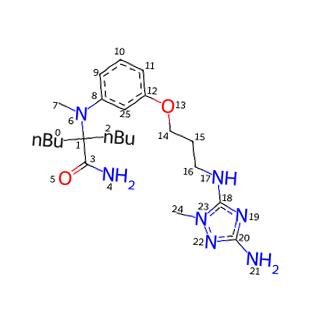 CCCCC(CCCC)(C(N)=O)N(C)c1cccc(OCCCNc2nc(N)nn2C)c1